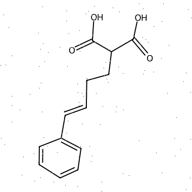 O=C(O)C(CCC=Cc1ccccc1)C(=O)O